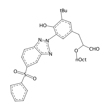 CCCCCCCCOC(C=O)Cc1cc(-n2nc3ccc(S(=O)(=O)c4ccccc4)cc3n2)c(O)c(C(C)(C)C)c1